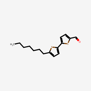 CCCCCCCc1ccc(-c2ccc(C=O)s2)s1